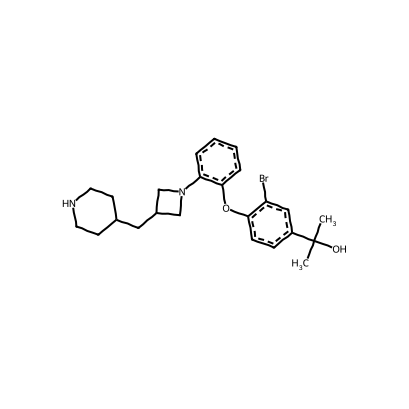 CC(C)(O)c1ccc(Oc2ccccc2N2CC(CC3CCNCC3)C2)c(Br)c1